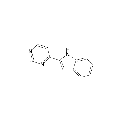 [c]1nccc(-c2cc3ccccc3[nH]2)n1